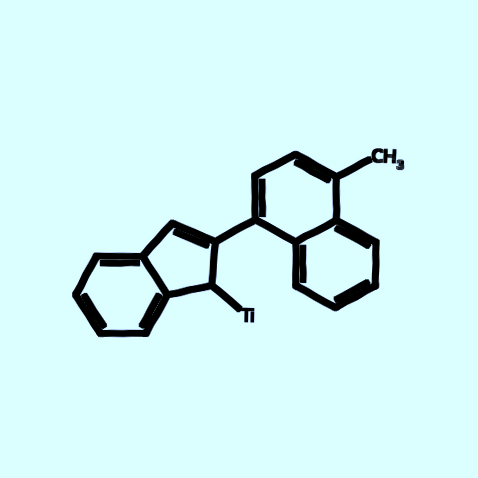 Cc1ccc(C2=Cc3ccccc3[CH]2[Ti])c2ccccc12